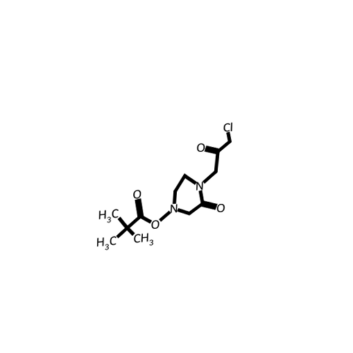 CC(C)(C)C(=O)ON1CCN(CC(=O)CCl)C(=O)C1